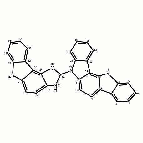 c1ccc2c(c1)sc1c2ccc2c1c1ccccc1n2C1Nc2ccc3sc4ccccc4c3c2O1